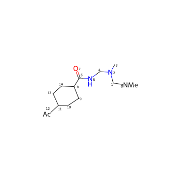 CNCN(C)CNC(=O)C1CCC(C(C)=O)CC1